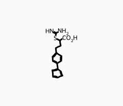 N=C(N)SC(CCc1ccc(-c2ccccc2)cc1)C(=O)O